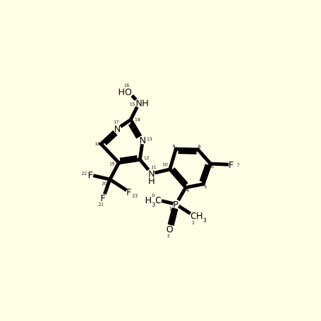 CP(C)(=O)c1cc(F)ccc1Nc1nc(NO)ncc1C(F)(F)F